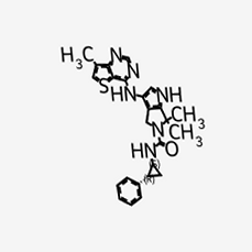 Cc1csc2c(Nc3c[nH]c4c3CN(C(=O)N[C@H]3C[C@@H]3c3ccccc3)C4(C)C)ncnc12